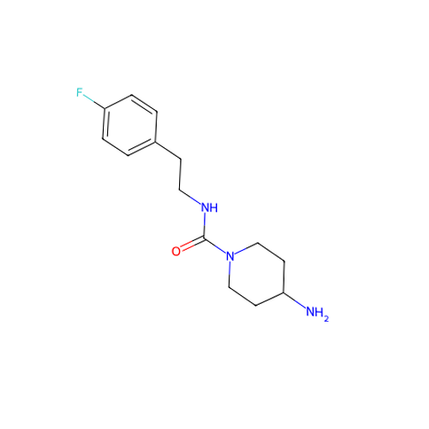 NC1CCN(C(=O)NCCc2ccc(F)cc2)CC1